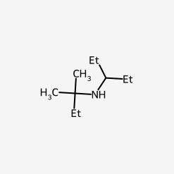 CCC(CC)NC(C)(C)CC